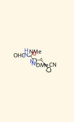 CNC(=O)/C(=C\NC=O)c1cc(C2CC2C#Cc2ccccc2C#N)c(OC)nn1